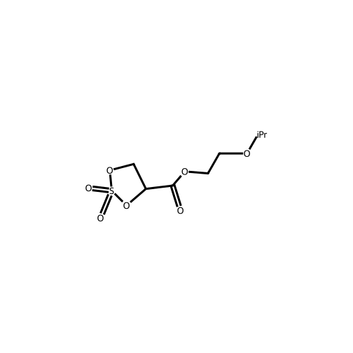 CC(C)OCCOC(=O)C1COS(=O)(=O)O1